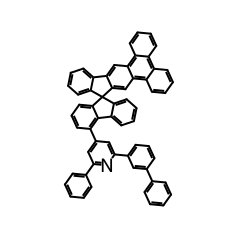 c1ccc(-c2cccc(-c3cc(-c4cccc5c4-c4ccccc4C54c5ccccc5-c5cc6c7ccccc7c7ccccc7c6cc54)cc(-c4ccccc4)n3)c2)cc1